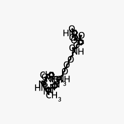 Cc1nc(Nc2ncc(C(=O)Nc3c(C)cccc3Cl)s2)cc(N2CCN(CC(=O)NCCCOCCOCCOCCCNC(=O)COc3cccc4c3C(=O)N(C3CCC(=O)NC3=O)C4=O)CC2)n1